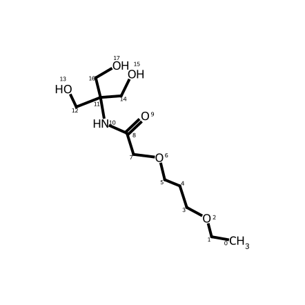 CCOCCCOCC(=O)NC(CO)(CO)CO